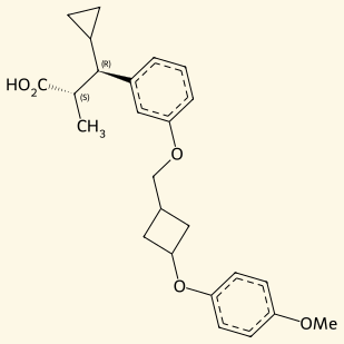 COc1ccc(OC2CC(COc3cccc([C@H](C4CC4)[C@H](C)C(=O)O)c3)C2)cc1